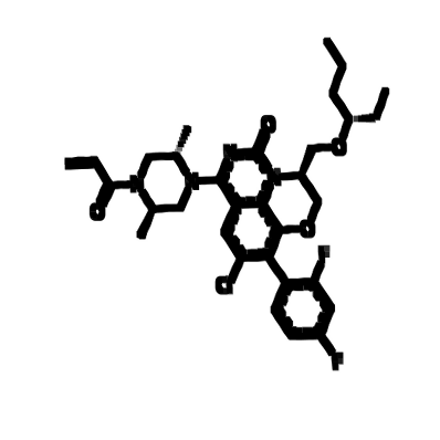 C=CC(=O)N1C[C@H](C)N(c2nc(=O)n3c4c(c(-c5ccc(F)cc5F)c(Cl)cc24)OC[C@@H]3CO[C@@H](CC)CCC)C[C@H]1C